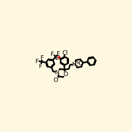 O=C1COC(CC[N+]23CCC(c4ccccc4)(CC2)CC3)(c2ccc(Cl)c(Cl)c2)CN1Cc1cc(C(F)(F)F)cc(C(F)(F)F)c1